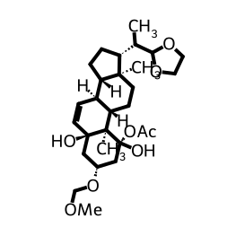 COCO[C@@H]1C[C@]2(O)C=C[C@H]3[C@@H]4CC[C@H](C(C)C5OCCO5)[C@@]4(C)CC[C@@H]3[C@@]2(C)[C@](O)(OC(C)=O)C1